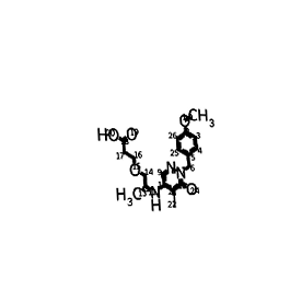 COc1ccc(Cn2ncc(N[C@@H](C)COCCC(=O)O)c(I)c2=O)cc1